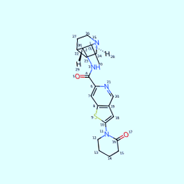 C[C@H]1[C@H](NC(=O)c2cc3sc(N4CCCCC4=O)cc3cn2)C2CCN1CC2